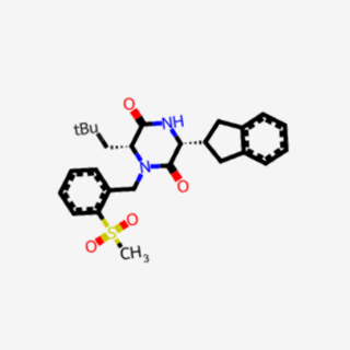 CC(C)(C)C[C@@H]1C(=O)N[C@H](C2Cc3ccccc3C2)C(=O)N1Cc1ccccc1S(C)(=O)=O